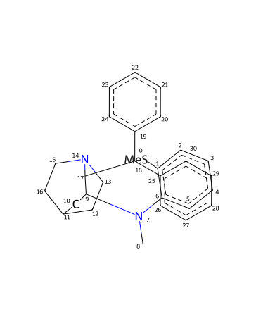 CSc1ccccc1N(C)C1CC2CCN(CC2)C1C(c1ccccc1)c1ccccc1